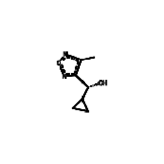 Cc1nonc1[C@H](O)C1CC1